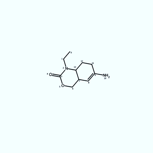 CCN1C(=O)OCC2C=C(N)CCC21